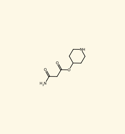 NC(=O)CC(=O)OC1CCNCC1